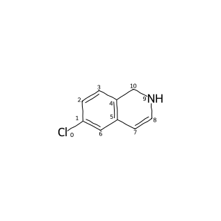 Clc1ccc2c(c1)C=CNC2